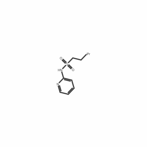 CC(C)CCS(=O)(=O)Nc1ccccn1